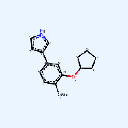 COc1ccc(-c2cc[nH]c2)cc1OC1CCCC1